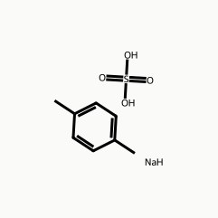 Cc1ccc(C)cc1.O=S(=O)(O)O.[NaH]